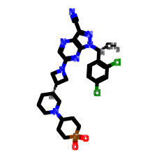 C[C@H](c1ccc(Cl)cc1Cl)n1nc(C#N)c2ncc(N3CC([C@H]4CCCN(C5CCS(=O)(=O)CC5)C4)C3)nc21